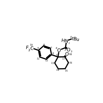 CC(C)(C)NC(=O)OC1(c2ccc(C(F)(F)F)cc2)CCCCC1=O